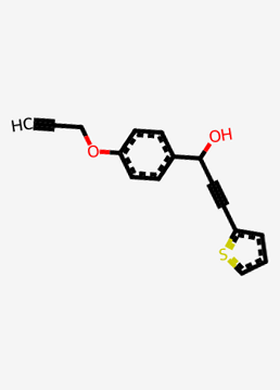 C#CCOc1ccc(C(O)C#Cc2cccs2)cc1